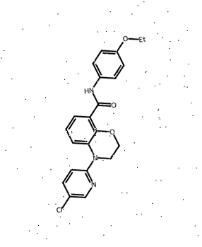 CCOc1ccc(NC(=O)c2cccc3c2OCCN3c2ccc(Cl)cn2)cc1